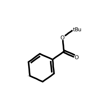 CC(C)(C)OC(=O)C1=CC[CH]C=C1